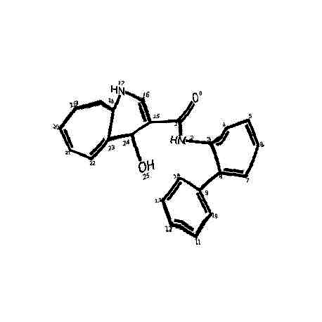 O=C(Nc1ccccc1-c1ccccc1)C1=CNC2CC=CC=C2C1O